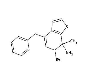 CC(C)C1C=C(Cc2ccccc2)c2ccsc2C1(C)N